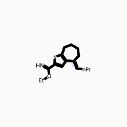 CCC/C=C1\CCCCc2sc(C(=N)OCC)cc21